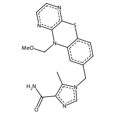 COCN1c2cc(Cn3cnc(C(N)=O)c3C)ccc2Sc2nccnc21